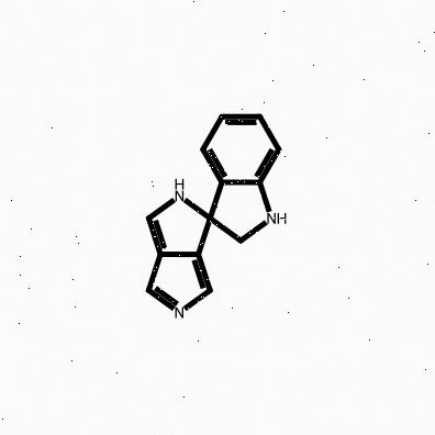 C1=NC=C2C1=CNC21CNc2ccccc21